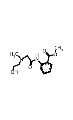 COC(=O)c1ccccc1NC(=O)CN(C)CCO